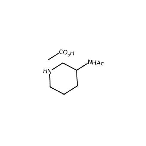 CC(=O)NC1CCCNC1.CC(=O)O